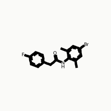 Cc1cc(Br)cc(C)c1NC(=O)Cc1ccc(F)cc1